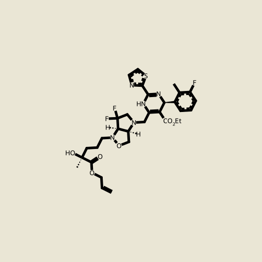 C=CCOC(=O)[C@@](C)(O)CCCN1OC[C@H]2[C@@H]1C(F)(F)CN2CC1=C(C(=O)OCC)[C@H](c2cccc(F)c2C)N=C(c2nccs2)N1